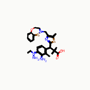 CCN(N)c1ccc(C(c2nc(CN3CCOc4ccccc4S3)c(C)s2)C(C)(C)C(=O)O)c(C)c1N